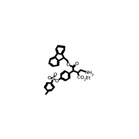 CCOC(=O)C(CN)C(C(=O)OCC1c2ccccc2-c2ccccc21)c1ccc(OS(=O)(=O)c2ccc(C)cc2)cc1